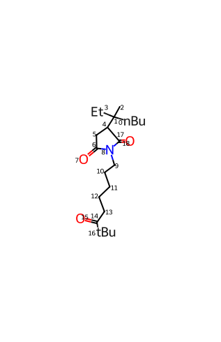 CCCCC(C)(CC)C1CC(=O)N(CCCCCC(=O)C(C)(C)C)C1=O